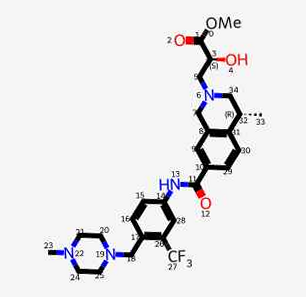 COC(=O)[C@@H](O)CN1Cc2cc(C(=O)Nc3ccc(CN4CCN(C)CC4)c(C(F)(F)F)c3)ccc2[C@@H](C)C1